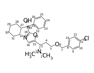 CN(C)C(CCOCc1ccc(Cl)cc1)c1cnc([C@](O)(c2ccccc2)C2CCCCC2)o1